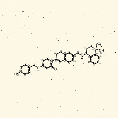 O=c1cc(OCc2ccc(Cl)cn2)ccn1C1=Cc2ccc(CNC3CCS(O)(O)c4ccccc43)cc2CC1